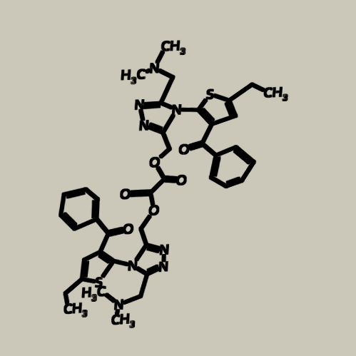 CCc1cc(C(=O)c2ccccc2)c(-n2c(COC(=O)C(=O)OCc3nnc(CN(C)C)n3-c3sc(CC)cc3C(=O)c3ccccc3)nnc2CN(C)C)s1